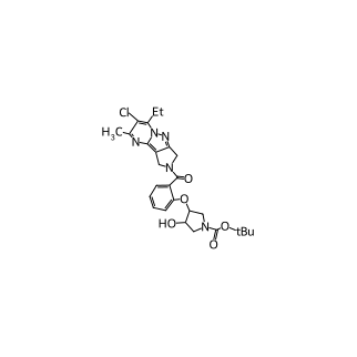 CCc1c(Cl)c(C)nc2c3c(nn12)CN(C(=O)c1ccccc1OC1CN(C(=O)OC(C)(C)C)CC1O)C3